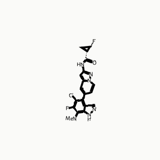 CNc1c(F)c(Cl)c(-c2ccn3nc(NC(=O)[C@@H]4C[C@@H]4F)cc3c2)c2cn[nH]c12